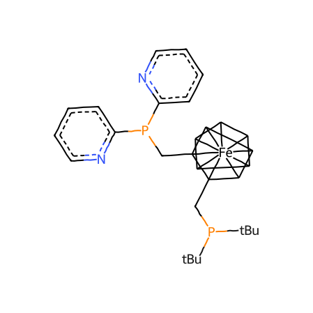 CC(C)(C)P(C[C]12[CH]3[CH]4[CH]5[C]1(CP(c1ccccn1)c1ccccn1)[Fe]45321678[CH]2[CH]1[CH]6[CH]7[CH]28)C(C)(C)C